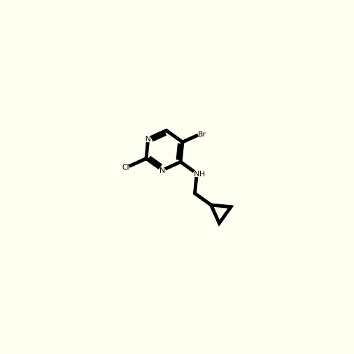 Clc1ncc(Br)c(NCC2CC2)n1